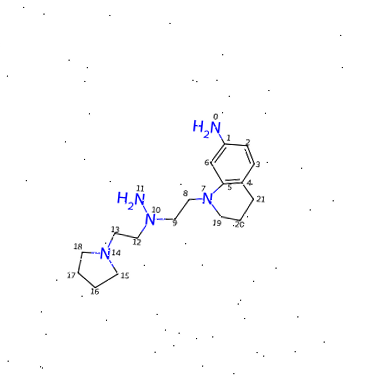 Nc1ccc2c(c1)N(CCN(N)CCN1CCCC1)CCC2